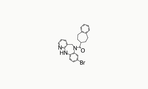 O=C(C1CCc2ccccc2CC1)N1Cc2cccnc2Nc2ccc(Br)cc21